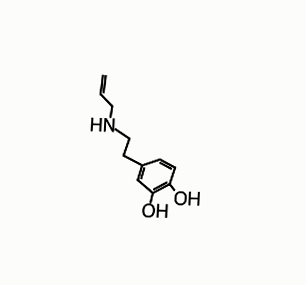 C=CCNCCc1ccc(O)c(O)c1